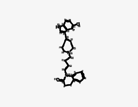 O=C1CCc2ccccc2N1CCCCN1CCC(c2c[nH]c3ccc(Cl)cc23)CC1